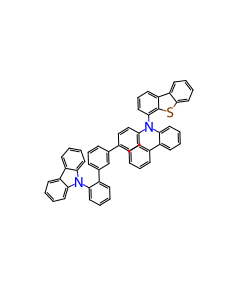 c1ccc(-c2ccccc2N(c2ccc(-c3cccc(-c4ccccc4-n4c5ccccc5c5ccccc54)c3)cc2)c2cccc3c2sc2ccccc23)cc1